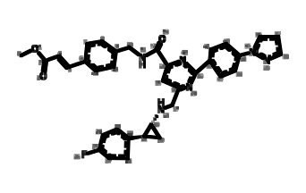 COC(=O)/C=C/c1ccc(CNC(=O)c2cc(CN[C@@H]3C[C@H]3c3ccc(F)cc3)nc(-c3ccc(-n4cccn4)cc3)n2)cc1